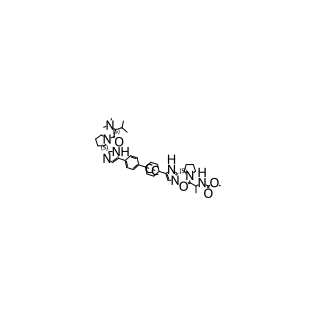 COC(=O)NC(C)C(=O)N1CCC[C@H]1c1ncc(C23CCC(c4ccc(-c5cnc([C@@H]6CCCN6C(=O)[C@H](C(C)C)N(C)C)[nH]5)cc4)(CC2)CC3)[nH]1